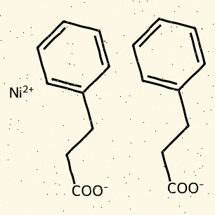 O=C([O-])CCc1ccccc1.O=C([O-])CCc1ccccc1.[Ni+2]